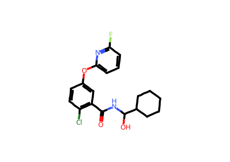 O=C(NC(O)C1CCCCC1)c1cc(Oc2cccc(F)n2)ccc1Cl